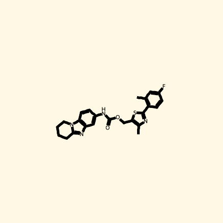 Cc1cc(F)ccc1-c1nc(C)c(COC(=O)Nc2ccc3c(c2)nc2n3CCCC2)s1